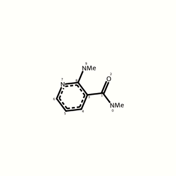 CNC(=O)c1cccnc1NC